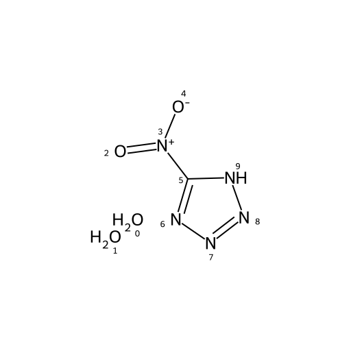 O.O.O=[N+]([O-])c1nnn[nH]1